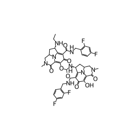 CCN[C@@H]1CC2CN(C)C(=O)c3c(OC(C)N[C@H]4CC5CN(C)C(=O)c6c(O)c(=O)c(C(=O)NCc7ccc(F)cc7F)c4n65)c(=O)c(C(=O)NCc4ccc(F)cc4F)c1n32